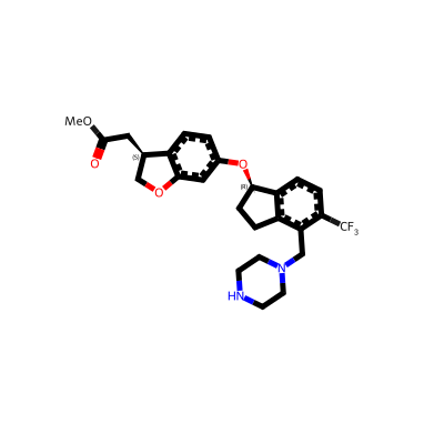 COC(=O)C[C@@H]1COc2cc(O[C@@H]3CCc4c3ccc(C(F)(F)F)c4CN3CCNCC3)ccc21